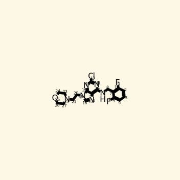 Fc1cccc(F)c1CNc1nc(Cl)nc2c1ncn2CCN1CCOCC1